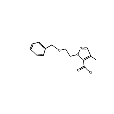 Cc1cnn(CCOCc2ccccc2)c1C(=O)Cl